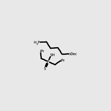 CC(C)CP(=S)(S)CC(C)C.CCCCCCCCCCCCCCP